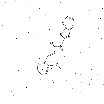 COc1ccccc1/C=C/C(=O)Nc1nc2ccccc2s1